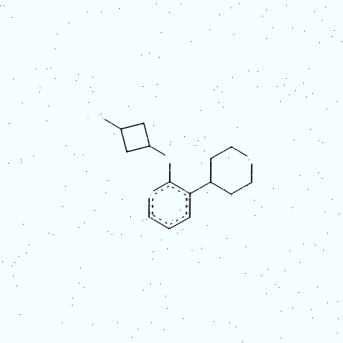 NC1CC(Oc2ncccc2C2CCOCC2)C1